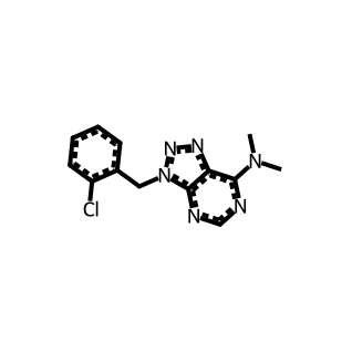 CN(C)c1ncnc2c1nnn2Cc1ccccc1Cl